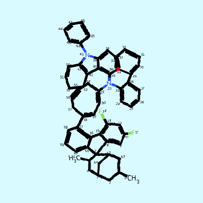 CC1CC2CC(C)C3(c4cc(F)cc(F)c4-c4c(/C5=C/C=C(/N(c6ccccc6-c6ccccc6)c6cccc7c6c6c(n7-c7ccccc7)C=CCC6)CC#CC5)cccc43)C(C1)C2